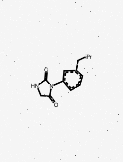 CC(C)Cc1cccc(N2C(=O)CNC2=O)c1